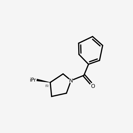 CC(C)[C@@H]1CCN(C(=O)c2ccccc2)C1